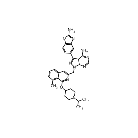 Cc1cccc2cc(CN3N=C(c4ccc5oc(N)nc5c4)C4C(N)=NC=NC43)nc(OC3CCN(C(C)C)CC3)c12